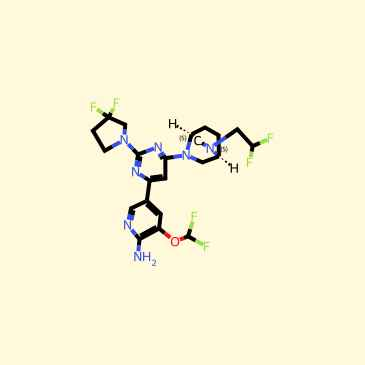 Nc1ncc(-c2cc(N3C[C@@H]4CC[C@H]3CN4CC(F)F)nc(N3CCC(F)(F)C3)n2)cc1OC(F)F